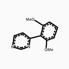 COc1cccc(OC)c1-c1c[c]ncn1